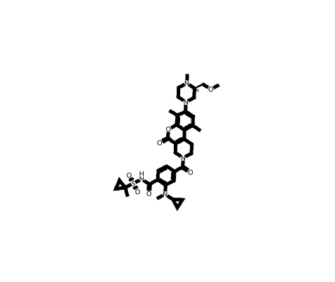 COC[C@H]1CN(c2cc(C)c3c4c(c(=O)oc3c2C)CN(C(=O)c2ccc(C(=O)NS(=O)(=O)C3(C)CC3)c(N(C)C3CC3)c2)CC4)CCN1C